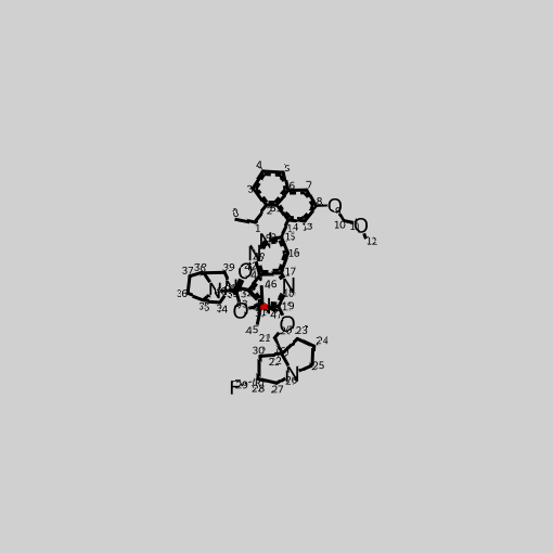 CCc1cccc2cc(OCOC)cc(-c3cc4nc(OC[C@@]56CCCN5C[C@H](F)C6)nc(N5CC6CCC(C5)N6C(=O)OC(C)(C)C)c4nn3)c12